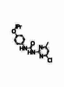 Cc1cc(Cl)nc(NC(=O)Nc2ccc(OC(C)C)cc2)n1